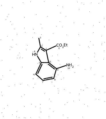 CCOC(=O)c1c(C)[nH]c2cccc(N)c12